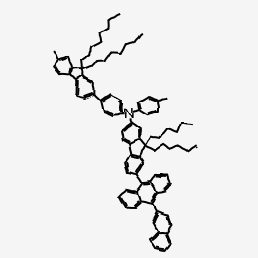 CCCCCCCCC1(CCCCCCCC)c2cc(C)ccc2-c2ccc(-c3ccc(N(c4ccc(C)cc4)c4ccc5c(c4)C(CCCCCC)(CCCCCC)c4cc(-c6c7ccccc7c(-c7ccc8ccccc8c7)c7ccccc67)ccc4-5)cc3)cc21